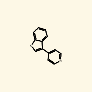 c1ccc2c(-c3ccncc3)csc2c1